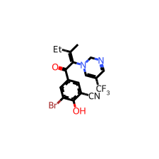 CC/C(C)=C(\C(=O)c1cc(Br)c(O)c(C#N)c1)N1C=C(C(F)(F)F)C=NC1